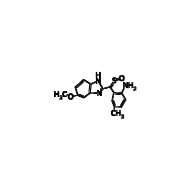 COc1ccc2[nH]c(C(=S=O)c3cc(C)ccc3N)nc2c1